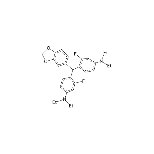 CCN(CC)c1ccc(C(c2ccc3c(c2)OCO3)c2ccc(N(CC)CC)cc2F)c(F)c1